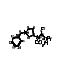 CCCC(F)N(C(=O)O)C1CCN(Cc2ccccc2)C1